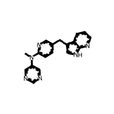 CN(c1cncnc1)c1ccc(Cc2c[nH]c3ncccc23)cn1